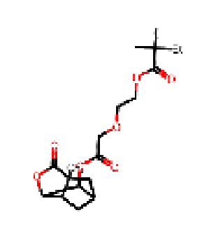 CCC(C)(C)C(=O)OCCOCC(=O)OC1C2CC3C1OC(=O)C3(C(F)(F)F)C2